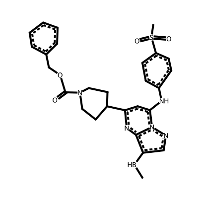 CBc1cnn2c(Nc3ccc(S(C)(=O)=O)cc3)cc(C3CCN(C(=O)OCc4ccccc4)CC3)nc12